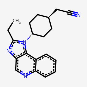 CCc1nc2cnc3ccccc3c2n1[C@H]1CC[C@H](CC#N)CC1